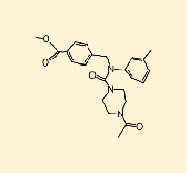 COC(=O)c1ccc(CN(C(=O)N2CCN(C(C)=O)CC2)c2cccc(C)c2)cc1